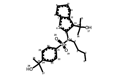 CCCCN(c1sc2ccccc2c1C(C)(C)O)S(=O)(=O)c1ccc(C(C)(C)O)cc1